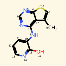 Cc1csc2ncnc(Nc3cccnc3O)c12